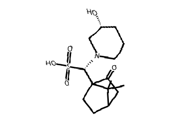 CC1(C)C2CCC1([C@@H](N1CCC[C@@H](O)C1)S(=O)(=O)O)C(=O)C2